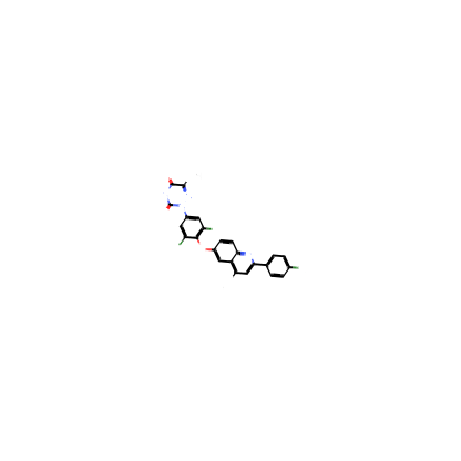 Cc1cc(-c2ccc(Cl)cc2)nc2ccc(Oc3c(Cl)cc(-n4nc(C#N)c(=O)[nH]c4=O)cc3Cl)cc12